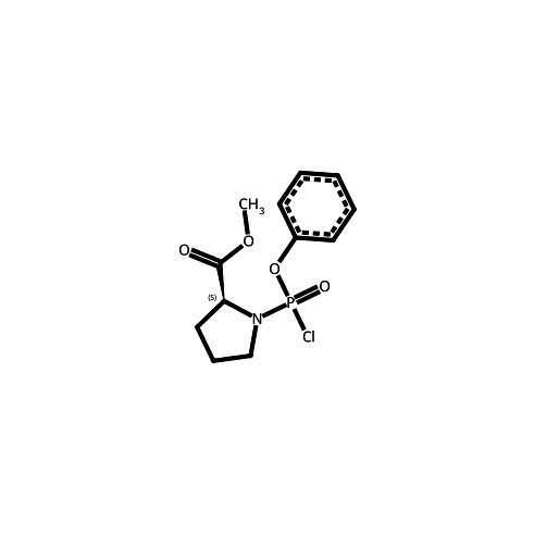 COC(=O)[C@@H]1CCCN1P(=O)(Cl)Oc1ccccc1